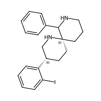 Ic1ccccc1[C@H]1CC[C@]2(CCCNC2c2ccccc2)NC1